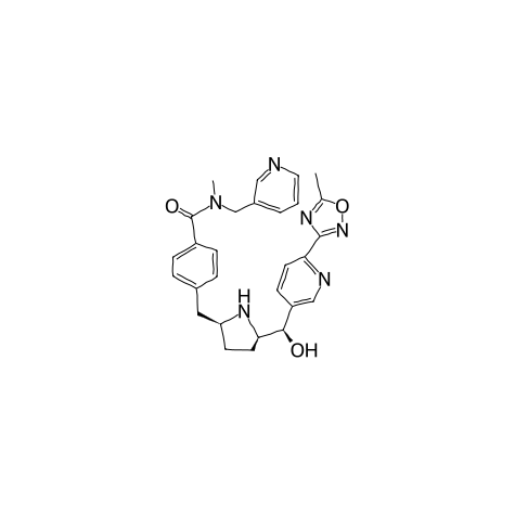 Cc1nc(-c2ccc([C@@H](O)[C@H]3CC[C@@H](Cc4ccc(C(=O)N(C)Cc5cccnc5)cc4)N3)cn2)no1